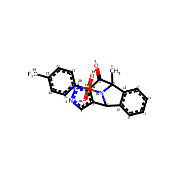 CC12C(=O)c3[nH]ncc3C(c3ccccc31)N2S(=O)(=O)c1ccc(C(F)(F)F)cc1